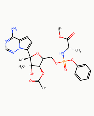 CC(C)OC(=O)[C@H](C)N[P@@](=O)(OCC1O[C@@](C#N)(c2ccc3c(N)ncnn23)[C@](C)(O)[C@@H]1OC(=O)C(C)C)Oc1ccccc1